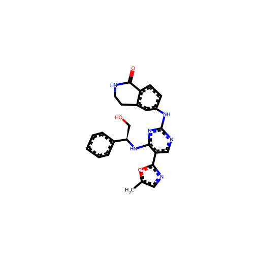 Cc1cnc(-c2cnc(Nc3ccc4c(c3)CCNC4=O)nc2N[C@H](CO)c2ccccc2)o1